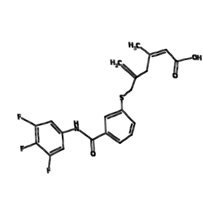 C=C(CSc1cccc(C(=O)Nc2cc(F)c(F)c(F)c2)c1)C/C(C)=C\C(=O)O